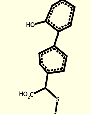 CC(=O)SC(C(=O)O)c1ccc(-c2ccccc2O)cc1